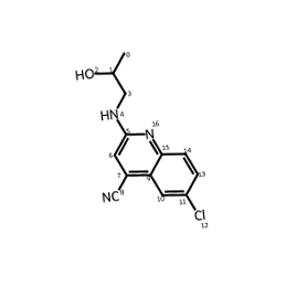 CC(O)CNc1cc(C#N)c2cc(Cl)ccc2n1